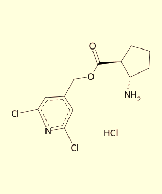 Cl.N[C@H]1CCC[C@@H]1C(=O)OCc1cc(Cl)nc(Cl)c1